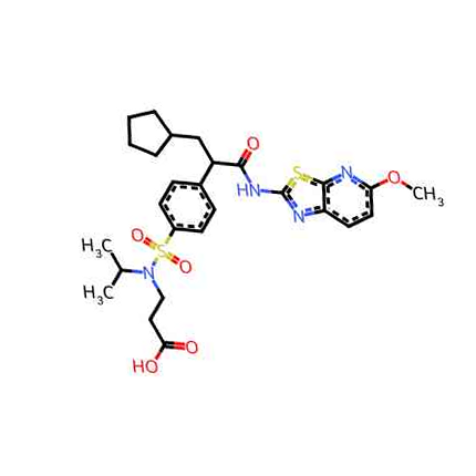 COc1ccc2nc(NC(=O)C(CC3CCCC3)c3ccc(S(=O)(=O)N(CCC(=O)O)C(C)C)cc3)sc2n1